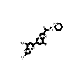 Cc1cn2nc(-c3cc(F)c4nc(C(=O)NC[C@H]5CCCCN5)cn4c3)cc(C)c2n1